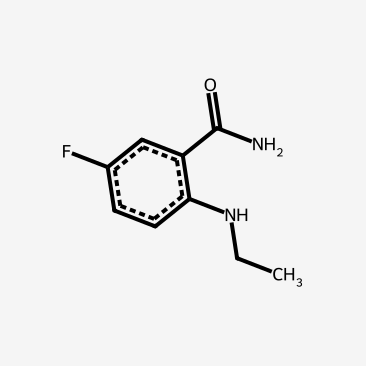 CCNc1ccc(F)cc1C(N)=O